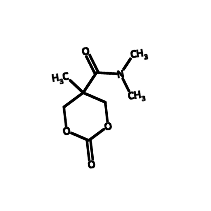 CN(C)C(=O)C1(C)COC(=O)OC1